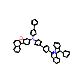 c1ccc(-c2ccc(N(c3ccc(-c4ccc(-c5cc6ccccc6c6c(-c7ccccc7)c7ccccc7n56)cc4)cc3)c3ccc4c(c3)oc3ccc5ccccc5c34)cc2)cc1